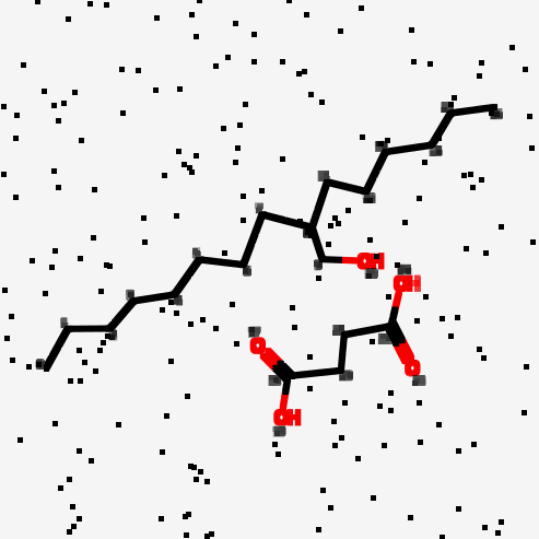 CCCCCCCCC(CO)CCCCCC.O=C(O)CCC(=O)O